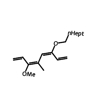 C=C/C(=C\C(C)=C(/C=C)OC)OCCCCCCCC